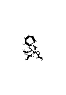 CCO[Si](CN1C=CC=CC=C1)(OCC)OCC